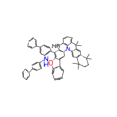 CC1(C)CCC(C)(C)c2cc3c(cc21)N1c2cc4c(oc5ccccc54)c(-c4ccc(-c5ccccc5)cc4Nc4ccc(-c5ccccc5)cc4)c2Bc2cccc(c21)C3(C)C